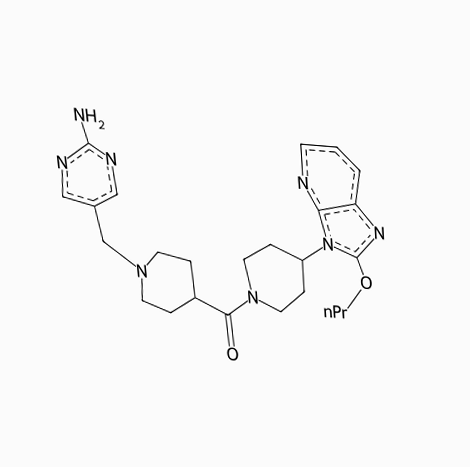 CCCOc1nc2cccnc2n1C1CCN(C(=O)C2CCN(Cc3cnc(N)nc3)CC2)CC1